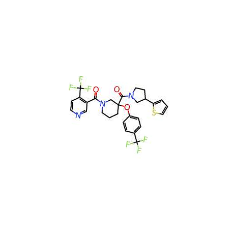 O=C(c1cnccc1C(F)(F)F)N1CCCC(Oc2ccc(C(F)(F)F)cc2)(C(=O)N2CCC(c3cccs3)C2)C1